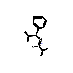 CC(C)N(/N=[N+](\[O-])C(C)C)c1ccccc1